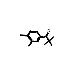 Cc1ccc(C(=O)C(C)(C)C)cc1C